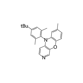 Cc1ccc2c(c1)N(c1c(C)cc(C(C)(C)C)cc1C)c1ccncc1O2